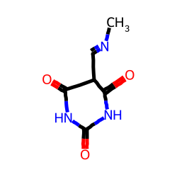 C/N=C/C1C(=O)NC(=O)NC1=O